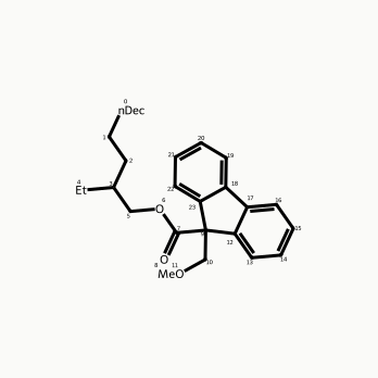 CCCCCCCCCCCCC(CC)COC(=O)C1(COC)c2ccccc2-c2ccccc21